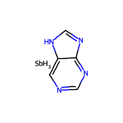 [SbH3].c1ncc2[nH]cnc2n1